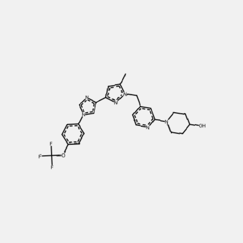 Cc1cc(-c2cn(-c3ccc(OC(F)(F)F)cc3)cn2)nn1Cc1ccnc(N2CCC(O)CC2)c1